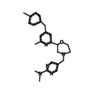 Cc1ccc(Cc2cc(C)nc(C3CN(Cc4cnc(N(C)C)nc4)CCO3)c2)cc1